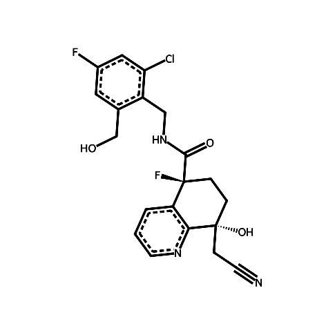 N#CC[C@]1(O)CC[C@@](F)(C(=O)NCc2c(Cl)cc(F)cc2CO)c2cccnc21